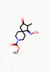 CC1C(=O)CC2(CCN(C(=O)OC(C)(C)C)CC2)C1=NO